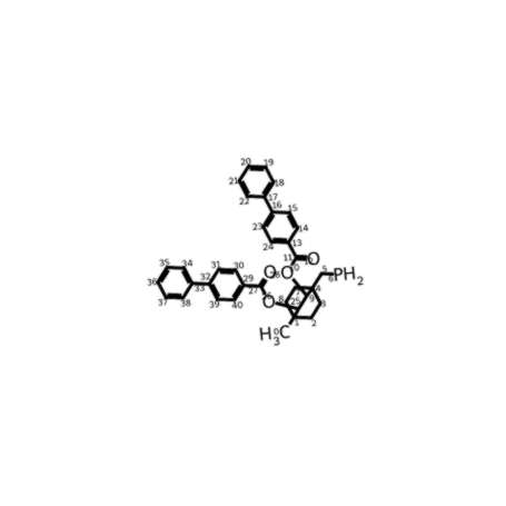 CC12CCC(CP)(CC1)C(OC(=O)c1ccc(-c3ccccc3)cc1)C2OC(=O)c1ccc(-c2ccccc2)cc1